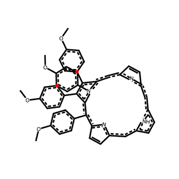 COc1ccc(-c2c(-c3ccc(OC)cc3)c3c(-c4ccc(OC)cc4)c4nc(cc5ccc(cc6nc(cc2n3-c2ccc(OC)cc2)C=C6)[nH]5)C=C4)cc1